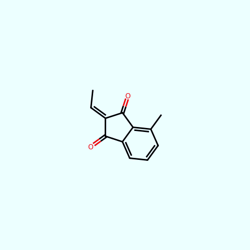 C/C=C1/C(=O)c2cccc(C)c2C1=O